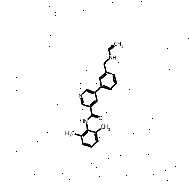 C=CNCc1cccc(-c2cncc(C(=O)Nc3c(C)cccc3C)c2)c1